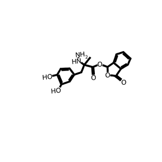 CC(Cc1ccc(O)c(O)c1)(NN)C(=O)OC1OC(=O)c2ccccc21